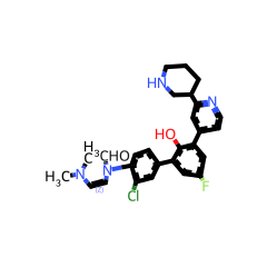 CN(C)/C=C\N(C=O)c1ccc(-c2cc(F)cc(-c3ccnc(C4CCCNC4)c3)c2O)cc1Cl